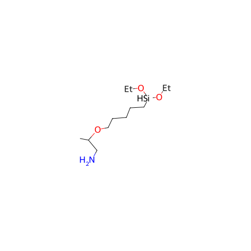 CCO[SiH](CCCCCOC(C)CN)OCC